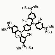 CCCCN(CCCC)c1ccc(N(c2ccc(N(c3ccc(N(CCCC)CCCC)cc3C#N)c3ccc(N(CCCC)CCCC)cc3C#N)cc2)c2ccc(N(CCCC)CCCC)cc2C#N)c(C#N)c1